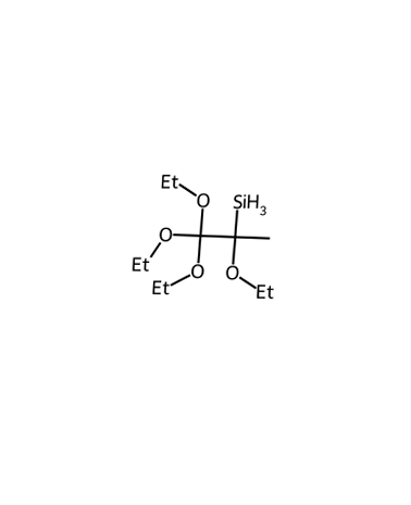 CCOC(C)([SiH3])C(OCC)(OCC)OCC